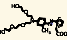 Cc1cc(N(CCOCCO)CCOCCOCCO)ccc1/N=N/c1scc[n+]1CC(=O)[O-]